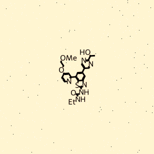 CCNC(=O)Nc1nc2cc(-c3cnc(C(C)O)nc3)cc(-c3cc(OCCOC)ccn3)c2s1